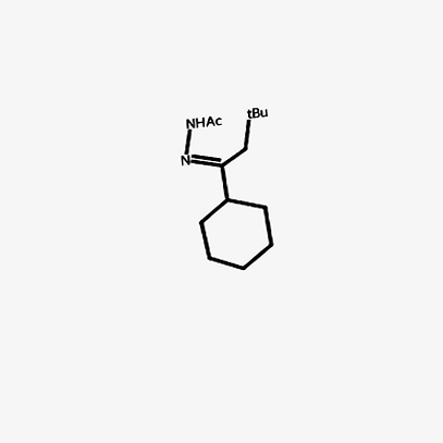 CC(=O)NN=C(CC(C)(C)C)C1CCCCC1